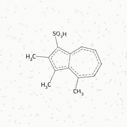 Cc1ccccc2c(S(=O)(=O)O)c(C)c(C)c1-2